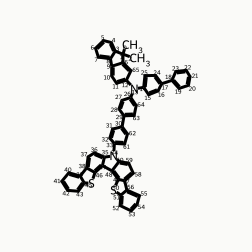 CC1(C)c2ccccc2-c2ccc(N(c3ccc(-c4ccccc4)cc3)c3ccc(-c4ccc(-n5c6ccc7c8ccccc8sc7c6c6c7sc8ccccc8c7ccc65)cc4)cc3)cc21